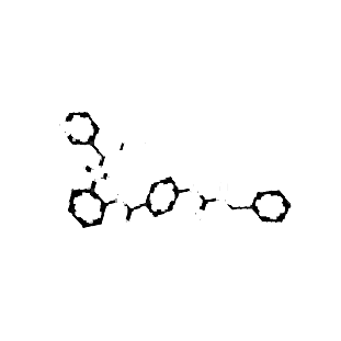 N=C(NCc1ccccc1)Nc1ccc(C(=O)Nc2ccccc2S(=O)(=O)[C@@H](CC(=O)O)c2cccnc2)cc1